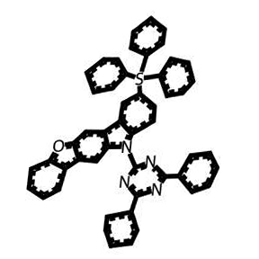 c1ccc(-c2nc(-c3ccccc3)nc(-n3c4ccc(S(c5ccccc5)(c5ccccc5)c5ccccc5)cc4c4cc5oc6ccccc6c5cc43)n2)cc1